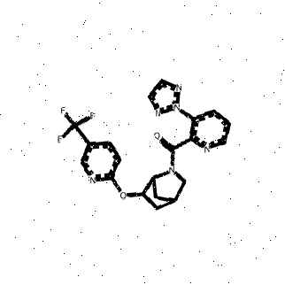 O=C(c1ncccc1-n1nccn1)N1CC2CC(Oc3ccc(C(F)(F)F)cn3)C1C2